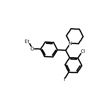 CCOc1ccc(C(c2cc(I)ccc2Cl)N2CCCCC2)cc1